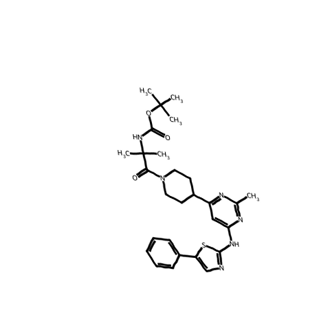 Cc1nc(Nc2ncc(-c3ccccc3)s2)cc(C2CCN(C(=O)C(C)(C)NC(=O)OC(C)(C)C)CC2)n1